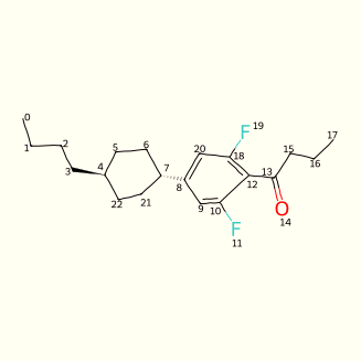 CCCC[C@H]1CC[C@H](c2cc(F)c(C(=O)CCC)c(F)c2)CC1